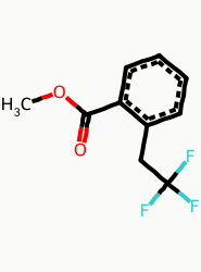 COC(=O)c1ccccc1CC(F)(F)F